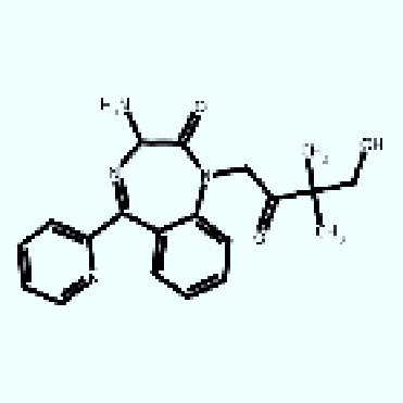 CC(C)(CO)C(=O)CN1C(=O)C(N)N=C(c2ccccn2)c2ccccc21